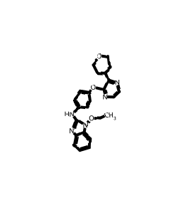 CCOn1c(Nc2ccc(Oc3nccnc3C3CCOCC3)cc2)nc2ccccc21